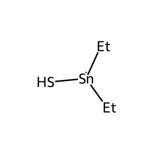 C[CH2][Sn]([SH])[CH2]C